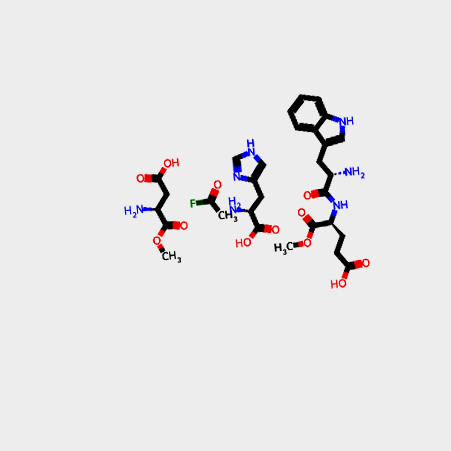 CC(=O)F.COC(=O)[C@@H](N)CC(=O)O.COC(=O)[C@H](CCC(=O)O)NC(=O)[C@@H](N)Cc1c[nH]c2ccccc12.N[C@@H](Cc1c[nH]cn1)C(=O)O